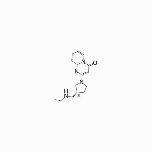 CCNC[C@@H]1CCN(c2cc(=O)n3ccccc3n2)C1